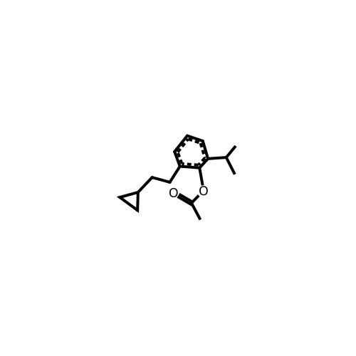 CC(=O)Oc1c(CCC2CC2)cccc1C(C)C